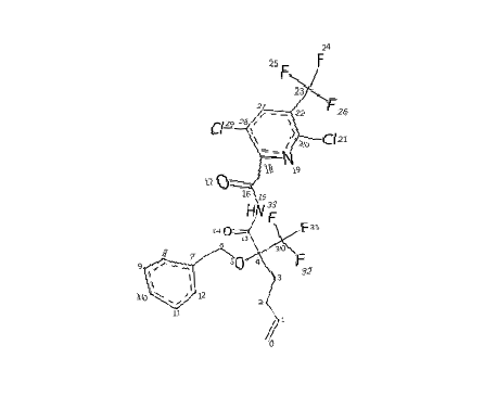 C=CCCC(OCc1ccccc1)(C(=O)NC(=O)c1nc(Cl)c(C(F)(F)F)cc1Cl)C(F)(F)F